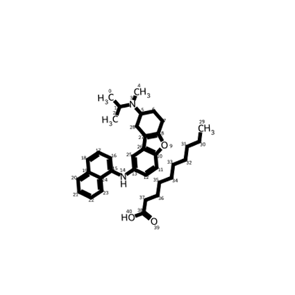 CC(C)N(C)C1CCc2oc3ccc(Nc4cccc5ccccc45)cc3c2C1.CCCCCCCCCC(=O)O